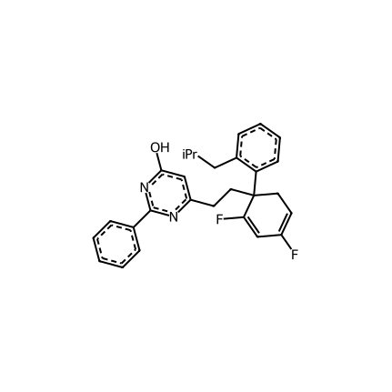 CC(C)Cc1ccccc1C1(CCc2cc(O)nc(-c3ccccc3)n2)CC=C(F)C=C1F